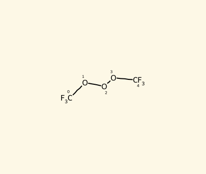 FC(F)(F)OOOC(F)(F)F